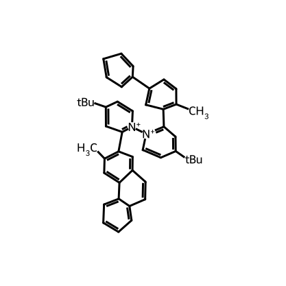 Cc1ccc(-c2ccccc2)cc1-c1cc(C(C)(C)C)cc[n+]1-[n+]1ccc(C(C)(C)C)cc1-c1cc2ccc3ccccc3c2cc1C